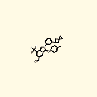 CC1=CC=NC[C@@H]1C1(c2cccc(-n3cc4c(C(F)(F)F)cc(C=O)cn4c3=O)c2)CC2(CC2)C1